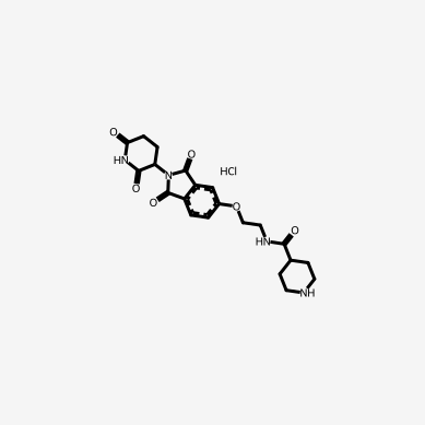 Cl.O=C1CCC(N2C(=O)c3ccc(OCCNC(=O)C4CCNCC4)cc3C2=O)C(=O)N1